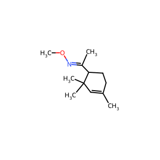 CON=C(C)C1CCC(C)=CC1(C)C